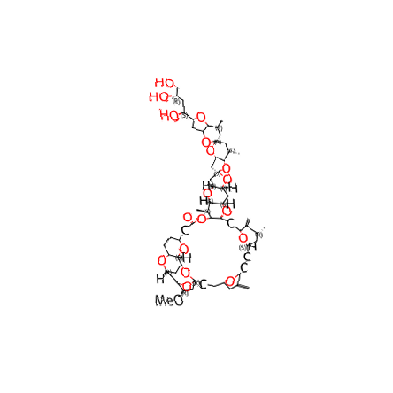 C=C1CC2CC[C@]34C[C@@H](OC)C(O3)[C@H]3CC(O4)[C@H]4OC(CCC4O3)CC(=O)OC3C(CC4O[C@@H](CCC1O2)C[C@@H](C)C4=C)O[C@H]1C[C@H]2O[C@@]4(CC5O[C@]6(C[C@H](C)C7OC([C@@H](O)C[C@@H](O)CO)CC7O6)C[C@H](C)C5O4)C[C@H]2O[C@H]1[C@@H]3C